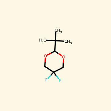 CC(C)(C)C1OCC(F)(F)CO1